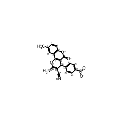 Cc1ccc2oc(=O)c3c(c2c1)OC(N)=C(C#N)C3c1ccc([N+](=O)[O-])cc1